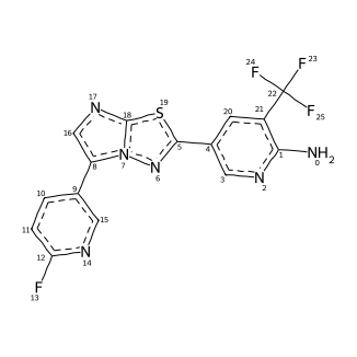 Nc1ncc(-c2nn3c(-c4ccc(F)nc4)cnc3s2)cc1C(F)(F)F